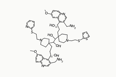 COc1ccc2ncc(CN)c([C@@H](O)CCC3(C(O)C(O)C4(CC[C@H](O)c5c(CN)cnc6ccc(OC)cc56)CCN(CCSc5cccs5)CC4)CCN(CCSc4ccccn4)CC3)c2c1